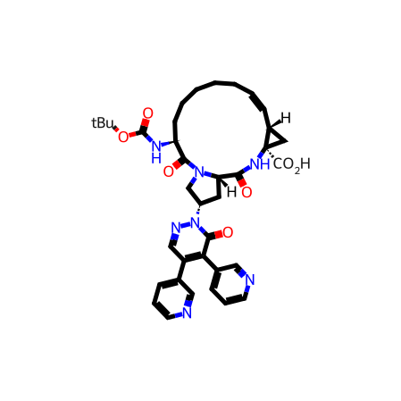 CC(C)(C)OC(=O)N[C@H]1CCCCC/C=C\[C@@H]2C[C@@]2(C(=O)O)NC(=O)[C@@H]2C[C@H](n3ncc(-c4cccnc4)c(-c4cccnc4)c3=O)CN2C1=O